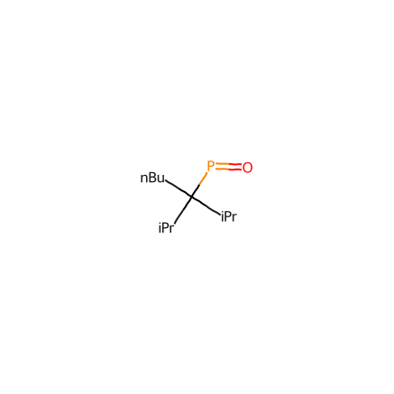 CCCCC(P=O)(C(C)C)C(C)C